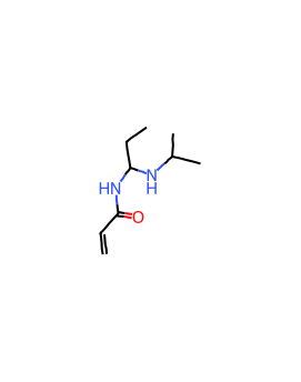 C=CC(=O)NC(CC)NC(C)C